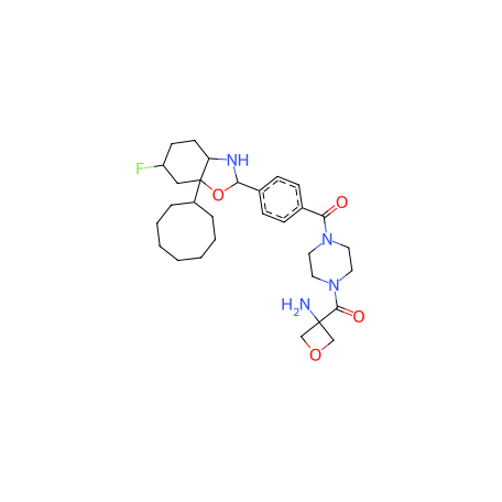 NC1(C(=O)N2CCN(C(=O)c3ccc(C4NC5CCC(F)CC5(C5CCCCCCC5)O4)cc3)CC2)COC1